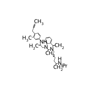 C=C(CN1C(=C)N(CCCCC(=C)NC(C)C)C(=C)c2ccccc21)Nc1ccc(CC#CC)c(C)c1